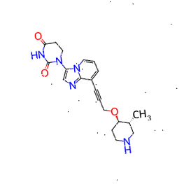 C[C@@H]1CNCC[C@H]1OCC#Cc1cccn2c(N3CCC(=O)NC3=O)cnc12